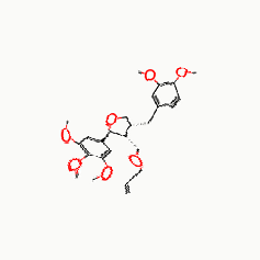 C=CCOC[C@H]1[C@@H](Cc2ccc(OC)c(OC)c2)CO[C@@H]1c1cc(OC)c(OC)c(OC)c1